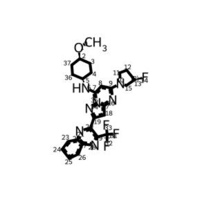 CO[C@H]1CC[C@H](Nc2cc(N3CC[C@@H](F)C3)nc3cc(-c4nc5ccccc5nc4C(F)(F)F)nn23)CC1